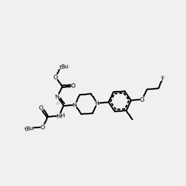 Cc1cc(N2CCN(/C(=N\C(=O)OC(C)(C)C)NC(=O)OC(C)(C)C)CC2)ccc1OCCF